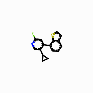 Fc1cc(-c2cccc3ccsc23)c(C2CC2)cn1